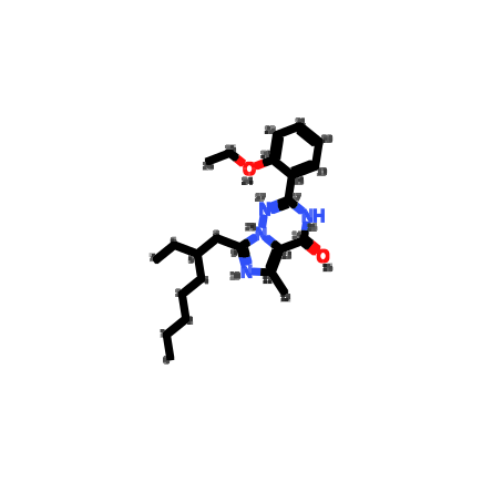 CCCCCC(CC)Cc1nc(C)c2c(=O)[nH]c(-c3ccccc3OCC)nn12